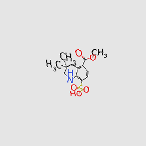 COC(=O)c1ccc(S(=O)(=O)O)c2c1CC(C)(C)CN2